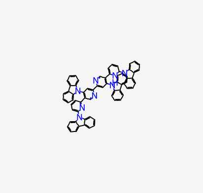 C1=CC(n2c3ccccc3c3ccccc32)NC(c2cnc(-c3cc(-n4c5ccccc5c5ccccc54)c(-c4cccc(-n5c6ccccc6c6ccccc65)n4)cn3)cc2-n2c3ccccc3c3ccccc32)=C1